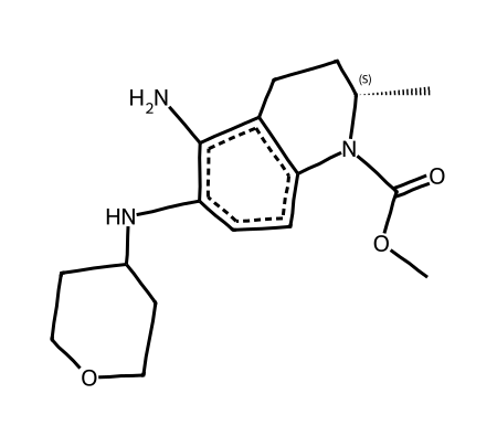 COC(=O)N1c2ccc(NC3CCOCC3)c(N)c2CC[C@@H]1C